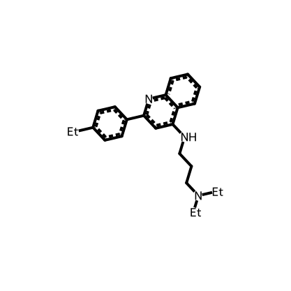 CCc1ccc(-c2cc(NCCCN(CC)CC)c3ccccc3n2)cc1